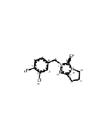 O=c1n(Cc2ccc(F)c(Cl)c2)nc2n1CCC2